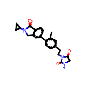 Cc1cc(CCN2C(=O)CNC2=O)ccc1-c1ccc2c(c1)CN(C1CC1)C2=O